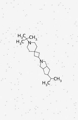 CC(C)C1CC2CN(C3CC4(CCN(C(C)(C)C)CC4)C3)CC2C1